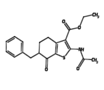 CCOC(=O)c1c(NC(C)=O)sc2c1CCC(Cc1ccccc1)C2=O